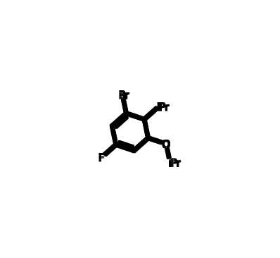 CC(C)OC1C=C(F)C=C(Br)C1C(C)C